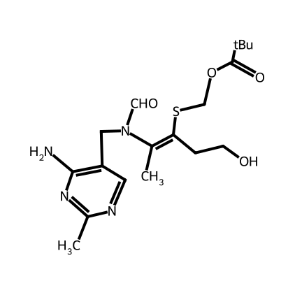 C/C(=C(\CCO)SCOC(=O)C(C)(C)C)N(C=O)Cc1cnc(C)nc1N